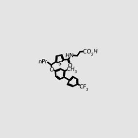 CCCC(Oc1ccc(-c2ccc(C(F)(F)F)cc2)c(C)c1)c1ccc(C(=O)NCCC(=O)O)s1